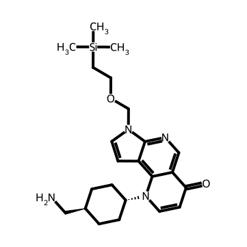 C[Si](C)(C)CCOCn1ccc2c1ncc1c(=O)ccn([C@H]3CC[C@H](CN)CC3)c12